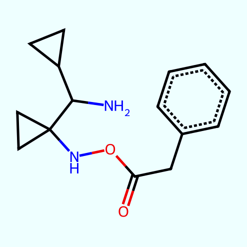 NC(C1CC1)C1(NOC(=O)Cc2ccccc2)CC1